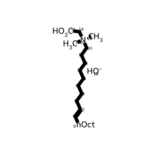 CCCCCCCCC=CCCCCCCCC[N+](C)(C)CC(=O)O.[OH-]